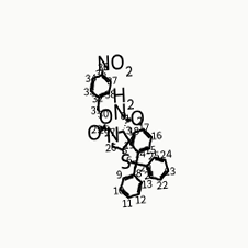 NC(=O)[C@@H]1C[C@@H](SC(c2ccccc2)(c2ccccc2)c2ccccc2)CN1C(=O)OCc1ccc([N+](=O)[O-])cc1